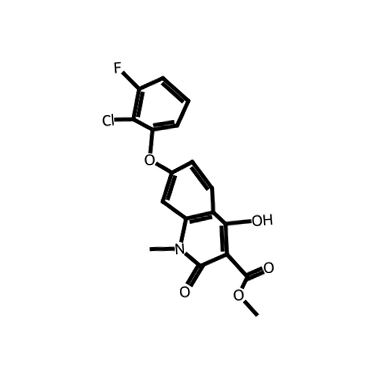 COC(=O)c1c(O)c2ccc(Oc3cccc(F)c3Cl)cc2n(C)c1=O